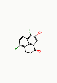 O=C1CCc2c(F)ccc3c(F)c(O)cc1c23